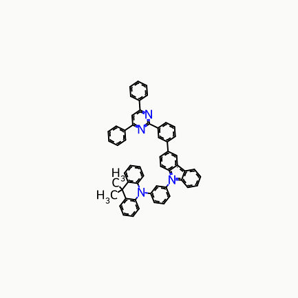 CC1(C)c2ccccc2N(c2cccc(-n3c4ccccc4c4cc(-c5cccc(-c6nc(-c7ccccc7)cc(-c7ccccc7)n6)c5)ccc43)c2)c2ccccc21